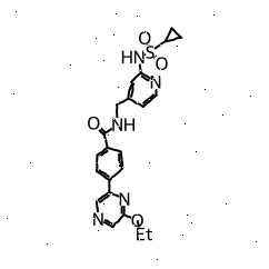 CCOc1cncc(-c2ccc(C(=O)NCc3ccnc(NS(=O)(=O)C4CC4)c3)cc2)n1